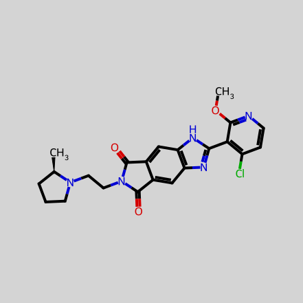 COc1nccc(Cl)c1-c1nc2cc3c(cc2[nH]1)C(=O)N(CCN1CCC[C@H]1C)C3=O